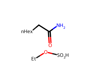 CCCCCCCC(N)=O.CCOS(=O)(=O)O